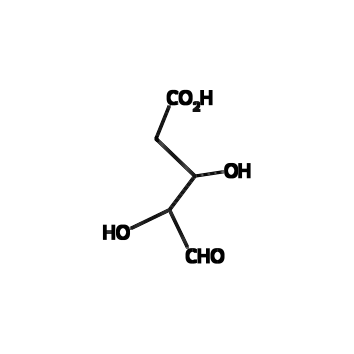 O=CC(O)C(O)CC(=O)O